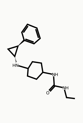 CCNC(=O)NC1CCC(N[C@@H]2C[C@H]2c2ccccc2)CC1